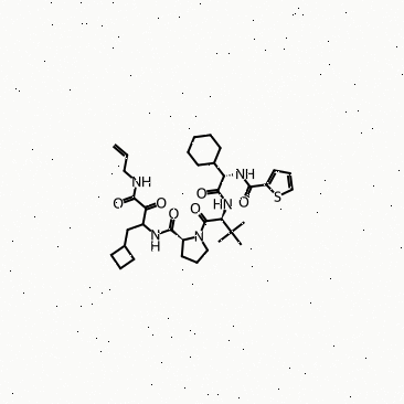 C=CCNC(=O)C(=O)C(CC1CCC1)NC(=O)[C@@H]1CCCN1C(=O)[C@@H](NC(=O)[C@@H](NC(=O)c1cccs1)C1CCCCC1)C(C)(C)C